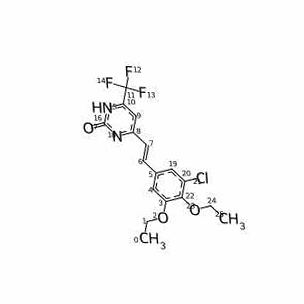 CCOc1cc(C=Cc2cc(C(F)(F)F)[nH]c(=O)n2)cc(Cl)c1OCC